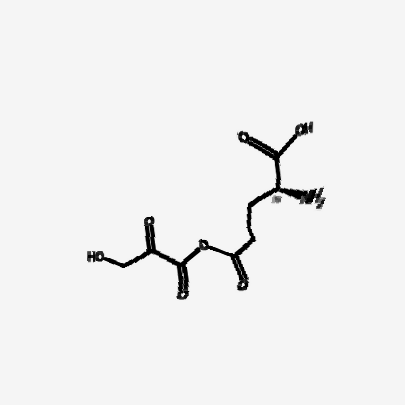 N[C@@H](CCC(=O)OC(=O)C(=O)CO)C(=O)O